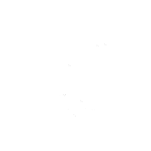 COc1cccc(CN(Cc2cccc(-n3cccn3)c2)c2ccc(CN3CC(=O)NCC3=O)cc2)c1